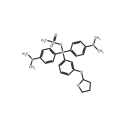 CN(C)c1ccc(S(OS(C)(=O)=O)(c2ccc(N(C)C)cc2)c2cccc(OC3CCCO3)c2)cc1